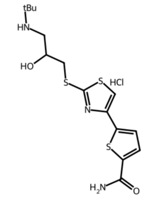 CC(C)(C)NCC(O)CSc1nc(-c2ccc(C(N)=O)s2)cs1.Cl